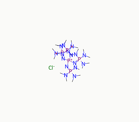 CN(C)P(=N[P+](N=P(N(C)C)(N(C)C)N(C)C)(N=P(N(C)C)(N(C)C)N(C)C)N=P(N(C)C)(N(C)C)N(C)C)(N(C)C)N(C)C.[Cl-]